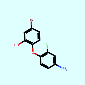 Nc1ccc(Oc2ccc(Br)cc2O)c(F)c1